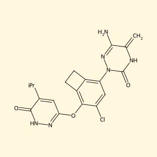 C=C1NC(=O)N(c2cc(Cl)c(Oc3cc(C(C)C)c(=O)[nH]n3)c3c2CC3)N=C1N